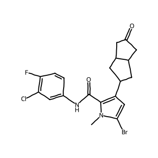 Cn1c(Br)cc(C2CC3CC(=O)CC3C2)c1C(=O)Nc1ccc(F)c(Cl)c1